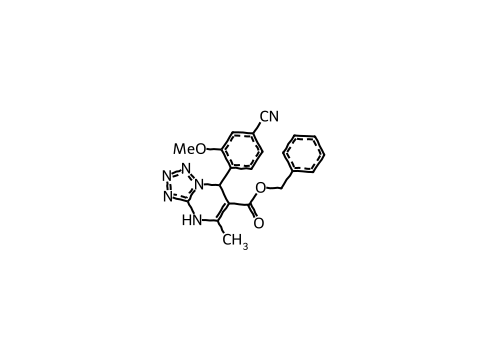 COc1cc(C#N)ccc1C1C(C(=O)OCc2ccccc2)=C(C)Nc2nnnn21